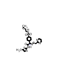 COCCNS(=O)(=O)c1ccc(/C(=N\OCc2ncccn2)C(=O)Nc2ncc(C)s2)cc1